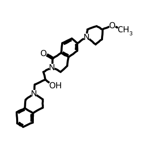 COC1CCN(c2ccc3c(c2)CCN(CC(O)CN2CCc4ccccc4C2)C3=O)CC1